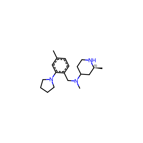 Cc1ccc(CN(C)C2CCN[C@@H](C)C2)c(N2CCCC2)c1